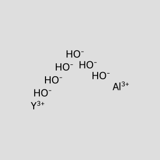 [Al+3].[OH-].[OH-].[OH-].[OH-].[OH-].[OH-].[Y+3]